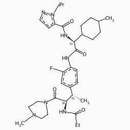 CCC(=O)N[C@@H](C(=O)N1CCN(C)CC1)[C@@H](C)c1ccc(NC(=O)[C@@H](NC(=O)c2ccnn2C(C)C)C2CCC(C)CC2)c(F)c1